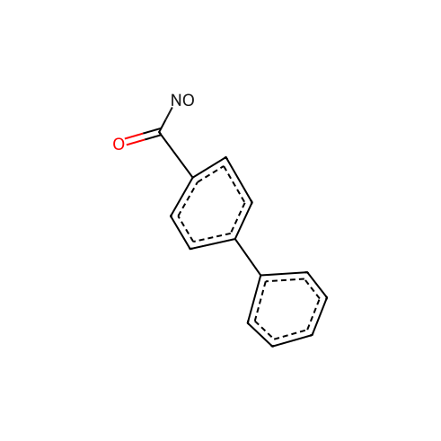 O=NC(=O)c1ccc(-c2ccccc2)cc1